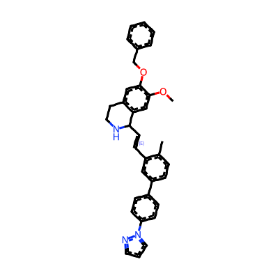 COc1cc2c(cc1OCc1ccccc1)CCNC2/C=C/c1cc(-c2ccc(-n3cccn3)cc2)ccc1C